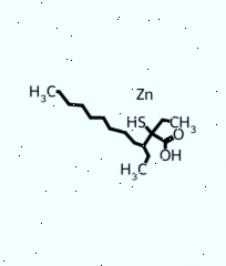 CCCCCCCCCC(CC)C(S)(CC)C(=O)O.[Zn]